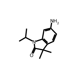 CC(C)N1C(=O)C(C)(C)c2ccc(N)cc21